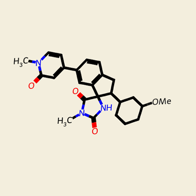 COC1CCCC(C2Cc3ccc(-c4ccn(C)c(=O)c4)cc3C23NC(=O)N(C)C3=O)C1